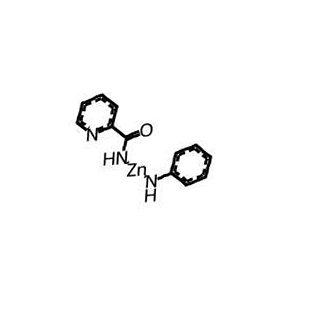 O=C([NH][Zn][NH]c1ccccc1)c1ccccn1